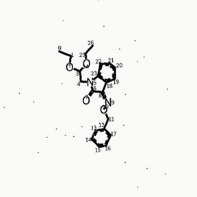 CCOC(CN1C(=O)/C(=N\OCc2ccccc2)c2ccccc21)OCC